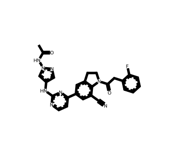 CC(=O)Nn1cc(Nc2nccc(-c3cc(C#N)c4c(c3)CCN4C(=O)Cc3ccccc3F)n2)cn1